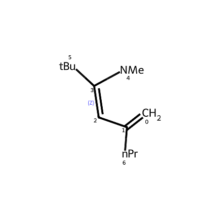 C=C(/C=C(\NC)C(C)(C)C)CCC